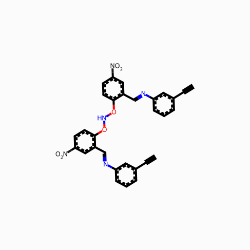 C#Cc1cccc(/N=C/c2cc([N+](=O)[O-])ccc2ONOc2ccc([N+](=O)[O-])cc2/C=N/c2cccc(C#C)c2)c1